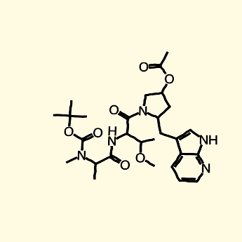 COC(C)C(NC(=O)C(C)N(C)C(=O)OC(C)(C)C)C(=O)N1CC(OC(C)=O)CC1Cc1c[nH]c2ncccc12